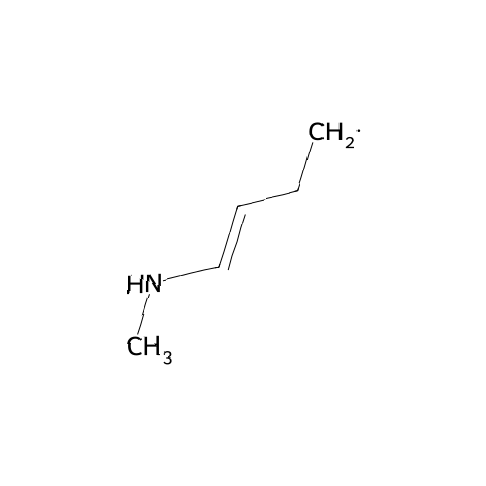 [CH2]CC=CNC